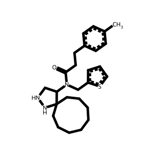 Cc1ccc(CCC(=O)N(Cc2cccs2)C2CNNC23CCCCCCCC3)cc1